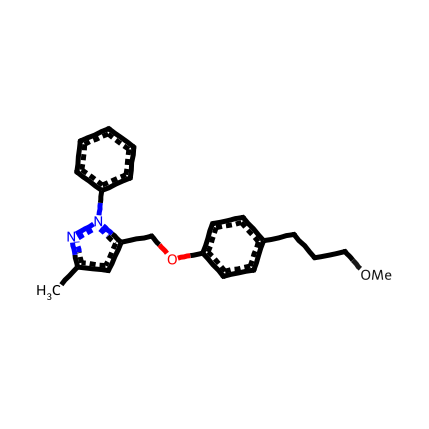 COCCCc1ccc(OCc2cc(C)nn2-c2ccccc2)cc1